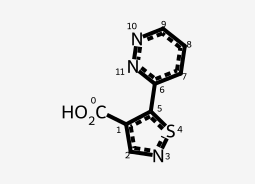 O=C(O)c1cnsc1-c1cccnn1